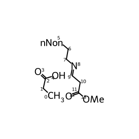 CCC(=O)O.CCCCCCCCCCCN=CCC(=O)OC